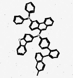 CC1C=Cc2c(cccc2-c2ccccc2-c2ccc(N(c3ccc4oc5ccccc5c4c3)c3cc4ccccc4c4cc(N(c5ccccc5)c5ccccc5)ccc34)cc2)C1